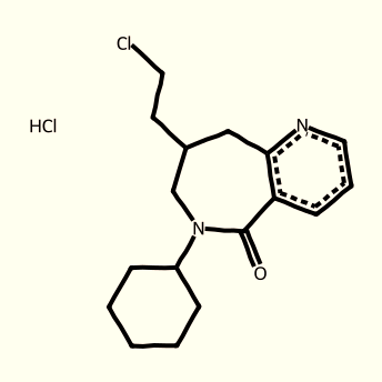 Cl.O=C1c2cccnc2CC(CCCl)CN1C1CCCCC1